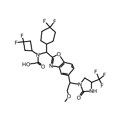 COCC(c1ccc2oc(C(C3CCC(F)(F)CC3)N(C(=O)O)C3CC(F)(F)C3)nc2c1)N1CC(C(F)(F)F)NC1=O